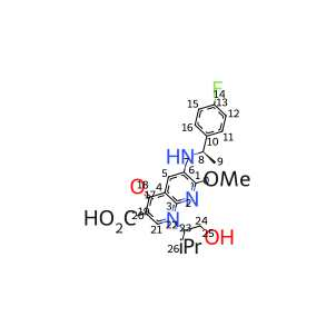 COc1nc2c(cc1N[C@H](C)c1ccc(F)cc1)c(=O)c(C(=O)O)cn2C(CO)C(C)C